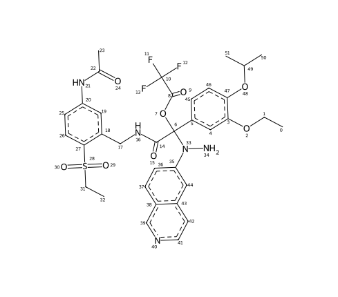 CCOc1cc(C(OC(=O)C(F)(F)F)(C(=O)NCc2cc(NC(C)=O)ccc2S(=O)(=O)CC)N(N)c2ccc3cnccc3c2)ccc1OC(C)C